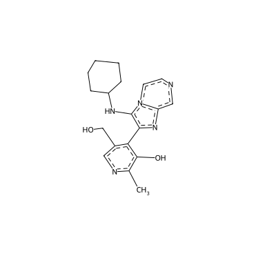 Cc1ncc(CO)c(-c2nc3cnccn3c2NC2CCCCC2)c1O